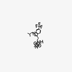 CC(C)Cn1cc(CCNS(=O)(=O)N(C)C)c2ccc(C(F)(F)F)cc21